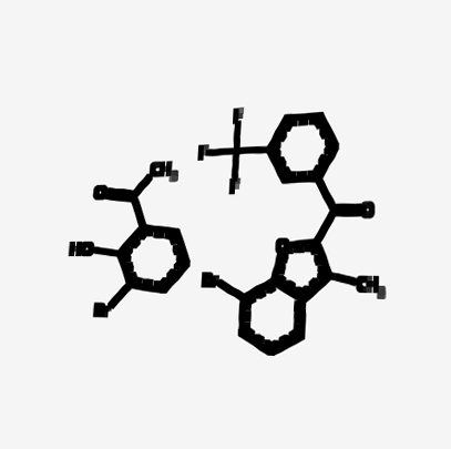 CC(=O)c1cccc(Br)c1O.Cc1c(C(=O)c2cccc(C(F)(F)F)c2)oc2c(Br)cccc12